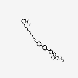 CCCCCCCCCCCCC1CCC(c2ccc(-c3ccc(OC(C)=O)cc3)cc2)CC1